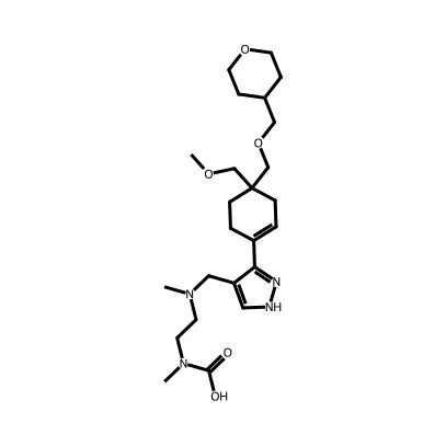 COCC1(COCC2CCOCC2)CC=C(c2n[nH]cc2CN(C)CCN(C)C(=O)O)CC1